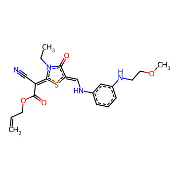 C=CCOC(=O)C(C#N)=c1sc(=CNc2cccc(NCCOC)c2)c(=O)n1CC